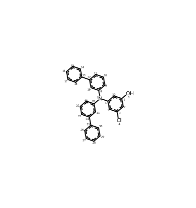 Oc1cc(Cl)cc(N(c2cccc(-c3ccccc3)c2)c2cccc(-c3ccccc3)c2)c1